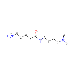 CN(C)CCCCNC(=O)CCCCN